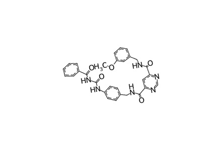 COc1cccc(CNC(=O)c2cc(C(=O)NCc3ccc(NC(=O)NC(=O)c4ccccc4)cc3)ncn2)c1